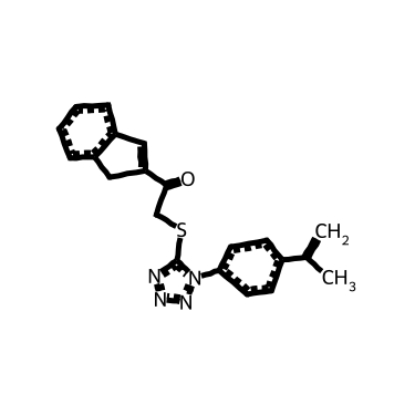 C=C(C)c1ccc(-n2nnnc2SCC(=O)C2=Cc3ccccc3C2)cc1